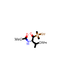 COC(=O)N[C@H](C(=O)S(C)(C)S)C(C)OC